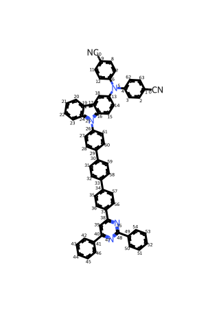 N#Cc1ccc(N(c2ccc(C#N)cc2)c2ccc3c(c2)c2ccccc2n3-c2ccc(-c3ccc(-c4ccc(-c5cc(-c6ccccc6)nc(-c6ccccc6)n5)cc4)cc3)cc2)cc1